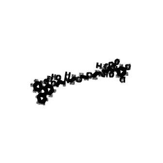 CCOc1c(OC[C@H](O)CNCCOCCOCCNCCC2(C)OC(=O)N(c3cc(Cl)cc(Cl)c3)C2=O)ccc(-c2ccccc2)c1-c1ccccc1